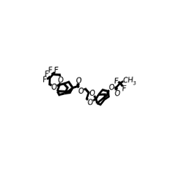 CC(F)(F)C(=O)OC12CC3CC(C1)C1(OCC(COC(=O)C45CC6CC(C4)C4(OCC(F)(F)C(F)(F)CO4)C(C6)C5)O1)C(C3)C2